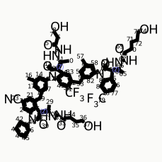 C/C(NNC(=O)CCO)=C1/C(=O)N(c2cc(C)cc(Cc3cc(C#N)cc4c3/C(=C(\C)NNC(=O)CCCO)C(=O)N4c3ccccc3)c2)c2cc(C(F)(F)F)c(Cc3cc(C)cc(N4C(=O)/C(=C(/C)NNC(=O)CCCCO)c5ccc(C(F)(F)F)cc54)c3)cc21